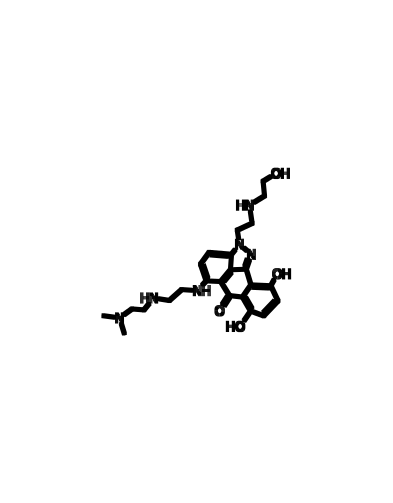 CN(C)CCNCCNc1ccc2c3c(nn2CCNCCO)-c2c(O)ccc(O)c2C(=O)c13